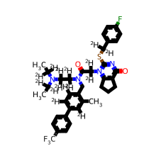 [2H]c1c([2H])c(-c2ccc(C(F)(F)F)cc2)c([2H])c(C)c1CN(C(=O)C([2H])([2H])n1c(SC([2H])([2H])c2ccc(F)cc2)nc(=O)c2c1CCC2)C([2H])([2H])C([2H])([2H])N(C([2H])([2H])C)C([2H])([2H])C